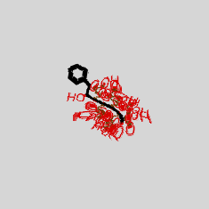 O=C(C(OS(=O)(=O)O)([C@@](OS(=O)(=O)O)([C@](OS(=O)(=O)O)(C(OS(=O)(=O)O)(C(O)Cc1ccccc1)S(=O)(=O)O)S(=O)(=O)O)S(=O)(=O)O)S(=O)(=O)O)S(=O)(=O)O